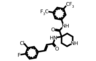 O=C(/C=C/c1ccc(F)c(Cl)c1)NC1(C(=O)Nc2cc(C(F)(F)F)cc(C(F)(F)F)c2)CCNCC1